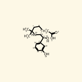 CC(=O)O.CC1(C)CCC[C@H]([C@@H](O)c2cccc(O)c2)N1